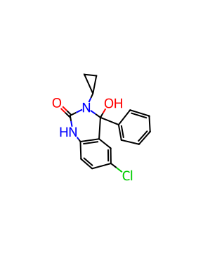 O=C1Nc2ccc(Cl)cc2C(O)(c2ccccc2)N1C1CC1